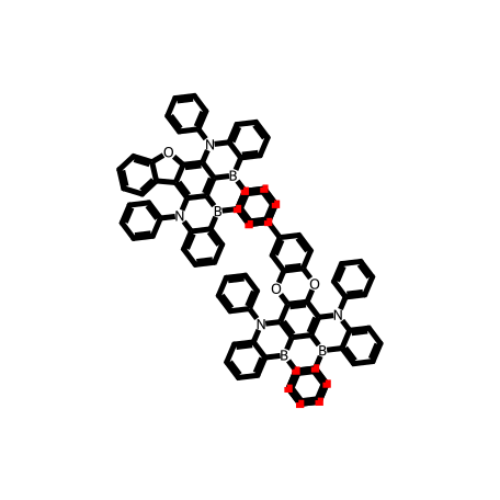 c1ccc(B2c3ccccc3N(c3ccccc3)c3c4c(c5c(c32)B(c2ccccc2)c2ccccc2N5c2ccccc2)Oc2cc(-c3cccc(B5c6ccccc6N(c6ccccc6)c6c5c5c(c7oc8ccccc8c67)N(c6ccccc6)c6ccccc6B5c5ccccc5)c3)ccc2O4)cc1